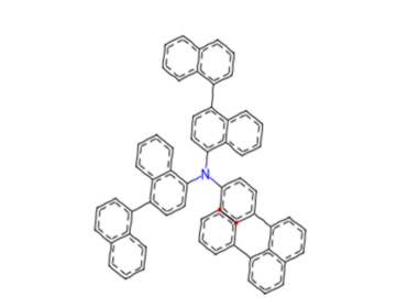 c1ccc(-c2cccc3cccc(-c4ccc(N(c5ccc(-c6cccc7ccccc67)c6ccccc56)c5ccc(-c6cccc7ccccc67)c6ccccc56)cc4)c23)cc1